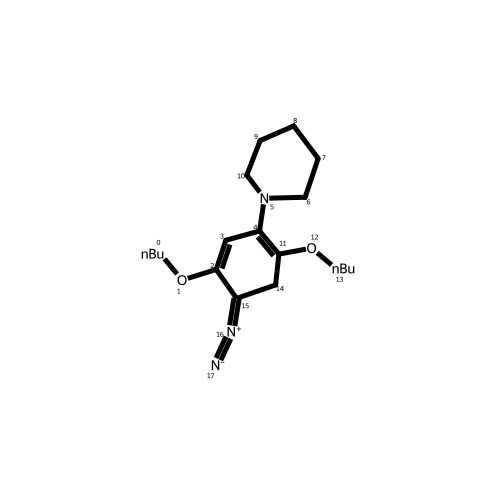 CCCCOC1=CC(N2CCCCC2)=C(OCCCC)CC1=[N+]=[N-]